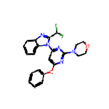 FC(F)c1nc2ccccc2n1-c1cc(Oc2ccccc2)nc(N2CCOCC2)n1